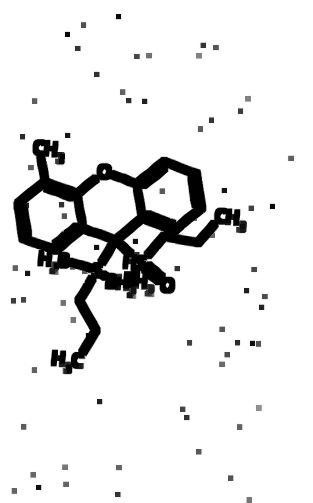 BS(B)(CCC)C1([SH](B)(=O)CCC)c2ccccc2Oc2c(C)cccc21